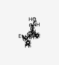 CCN1C[C@@H](NC(=O)Nc2c(C)c(OCC(=O)NCCO)nn2-c2ccccc2)[C@H](c2ccc(F)c(F)c2)O1